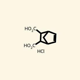 Cl.O=C(O)C1C2C=CC(C2)C1C(=O)O